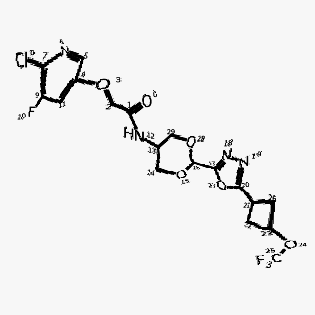 O=C(COc1cnc(Cl)c(F)c1)NC1COC(c2nnc(C3CC(OC(F)(F)F)C3)o2)OC1